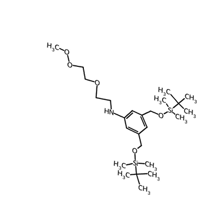 COOCCOCCNc1cc(CO[Si](C)(C)C(C)(C)C)cc(CO[Si](C)(C)C(C)(C)C)c1